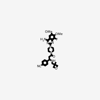 COc1cc2c(N)nc(N3CCN(C(=O)CC(NCC4(C)COC4)c4ccc(C#N)cc4)CC3)nc2c(F)c1OC